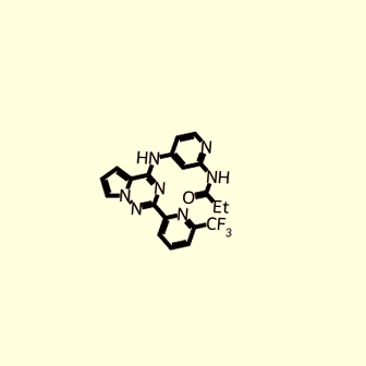 CCC(=O)Nc1cc(Nc2nc(-c3cccc(C(F)(F)F)n3)nn3cccc23)ccn1